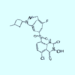 CC1CC(n2ncc3c(F)cc(S(=O)(=O)c4ccc(Cl)c5c(=O)n(O)c(=O)[nH]c45)cc32)C1